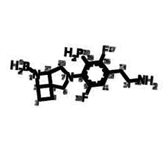 BN1C2CCC23CN(c2c(F)cc(CCN)c(F)c2P)CC13